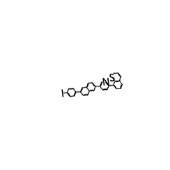 Ic1ccc(-c2ccc3cc(-c4ccc(-c5cccc6c5SCC=C6)nc4)ccc3c2)cc1